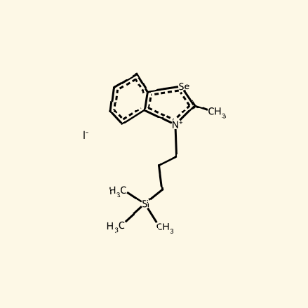 Cc1[se]c2ccccc2[n+]1CCC[Si](C)(C)C.[I-]